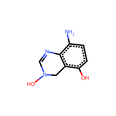 Nc1ccc(O)c2c1N=CN(O)C2